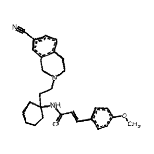 COc1ccc(C=CC(=O)NC2(CCN3CCc4ccc(C#N)cc4C3)CCCCC2)cc1